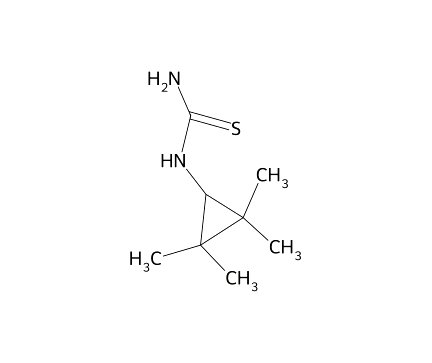 CC1(C)C(NC(N)=S)C1(C)C